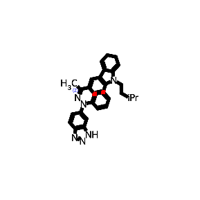 C/C(=N/N(c1ccccc1)c1ccc2nn[nH]c2c1)c1ccc2c(c1)c1c(n2CCC(C)C)=CCCC=1